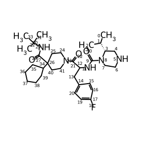 CC(C)[C@@H]1CNCCN1C(=O)NC(Cc1ccc(F)cc1)C(=O)N1CCC(C(=O)NC(C)(C)C)(C2CCCCC2)CC1